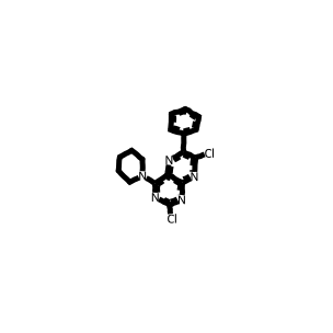 Clc1nc(N2CCCCC2)c2nc(-c3ccccc3)c(Cl)nc2n1